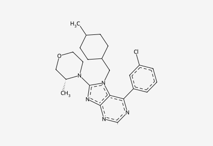 CC1CCC(Cn2c(N3CCOC[C@H]3C)nc3n[c]nc(-c4cccc(Cl)c4)c32)CC1